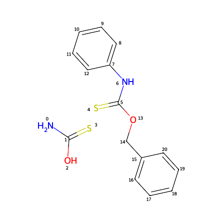 NC(O)=S.S=C(Nc1ccccc1)OCc1ccccc1